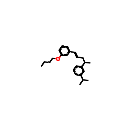 CCCCOc1cccc(C=CCC(C)c2cccc(C(C)C)c2)c1